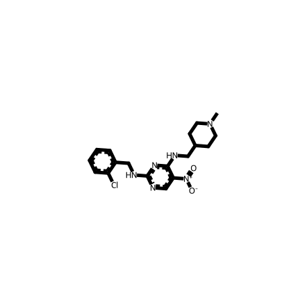 CN1CCC(CNc2nc(NCc3ccccc3Cl)ncc2[N+](=O)[O-])CC1